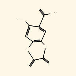 COC(=O)c1cc2[nH]c(=O)c(=O)[nH]c2cc1OC